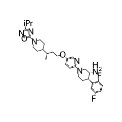 CC(C)c1noc(N2CCC([C@H](C)CCOc3ccc(N4CC[C@H](c5cc(F)ccc5F)[C@@H](N)C4)nc3)CC2)n1